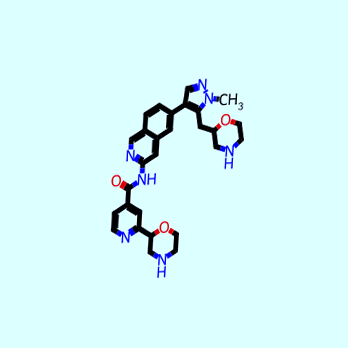 Cn1ncc(-c2ccc3cnc(NC(=O)c4ccnc(C5CNCCO5)c4)cc3c2)c1CC1CNCCO1